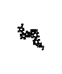 CCNCc1cncc(-c2ccc3[nH]nc(-c4cc5c(-c6ccc(C)s6)nccc5[nH]4)c3c2)c1